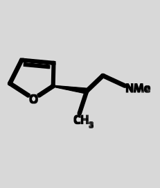 CNCC(C)[C@@H]1C=CCO1